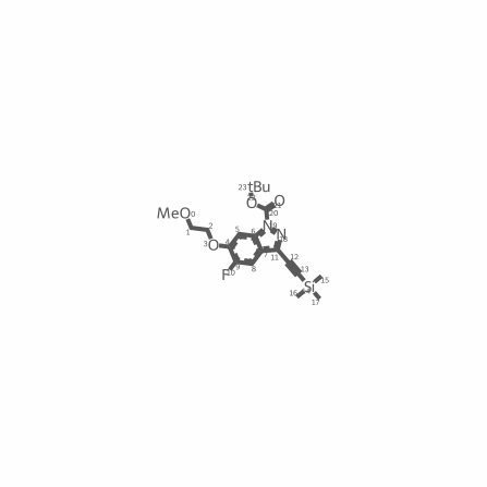 COCCOc1cc2c(cc1F)c(C#C[Si](C)(C)C)nn2C(=O)OC(C)(C)C